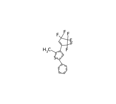 Cc1sc(-c2ccccc2)cc1C1=CC(F)(F)C(F)(F)C1(F)F